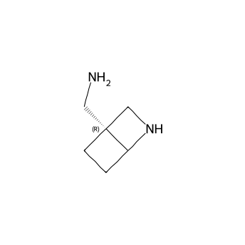 NC[C@@]12CCC1NC2